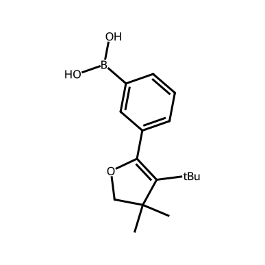 CC(C)(C)C1=C(c2cccc(B(O)O)c2)OCC1(C)C